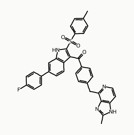 Cc1ccc(S(=O)(=O)c2[nH]c3cc(-c4ccc(F)cc4)ccc3c2C(=O)c2ccc(Cc3nccc4[nH]c(C)nc34)cc2)cc1